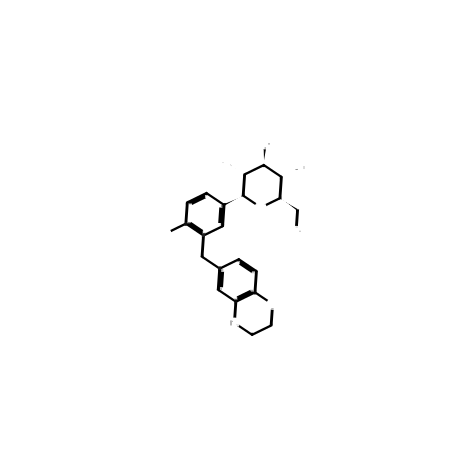 OC[C@H]1O[C@@H](c2ccc(F)c(Cc3ccc4c(c3)NCCO4)c2)[C@H](O)[C@@H](O)[C@@H]1O